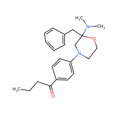 CCCC(=O)c1ccc(N2CCOC(Cc3ccccc3)(N(C)C)C2)cc1